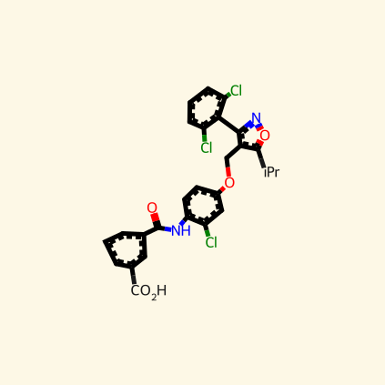 CC(C)c1onc(-c2c(Cl)cccc2Cl)c1COc1ccc(NC(=O)c2cccc(C(=O)O)c2)c(Cl)c1